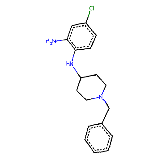 Nc1cc(Cl)ccc1NC1CCN(Cc2ccccc2)CC1